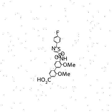 COc1cc(-c2ccc(C(=O)O)cc2OC)ccc1NS(=O)(=O)c1cnc(-c2ccc(F)cc2)s1